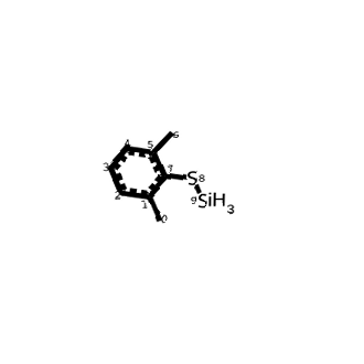 Cc1cccc(C)c1S[SiH3]